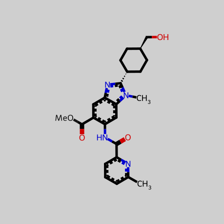 COC(=O)c1cc2nc([C@H]3CC[C@H](CO)CC3)n(C)c2cc1NC(=O)c1cccc(C)n1